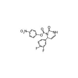 O=C1NC=CC(c2ccc(F)c(F)c2)N1C(=O)Oc1ccc([N+](=O)[O-])cc1